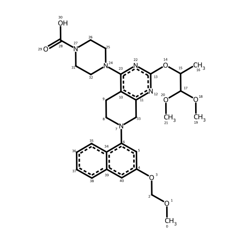 COCOc1cc(N2CCc3c(nc(OC(C)C(OC)OC)nc3N3CCN(C(=O)O)CC3)C2)c2ccccc2c1